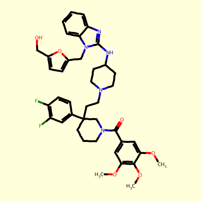 COc1cc(C(=O)N2CCCC(CCN3CCC(Nc4nc5ccccc5n4Cc4ccc(CO)o4)CC3)(c3ccc(F)c(F)c3)C2)cc(OC)c1OC